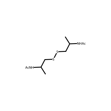 CC(=O)NC(C)CSSCC(C)NC(C)=O